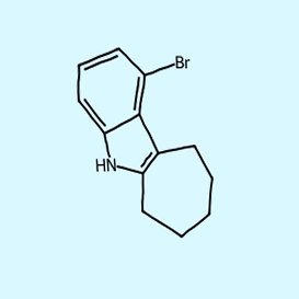 Brc1cccc2[nH]c3c(c12)CCCCC3